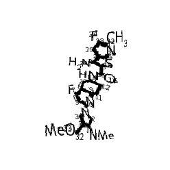 CNC1CN(c2cc(F)c3c(n2)CCC(NC(=O)c2sc4nc(C)c(F)cc4c2N)C3)CC1COC